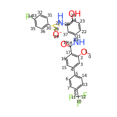 COc1cc(-c2ccc(C(F)(F)F)cc2)ccc1C(=O)Nc1ccc(O)c(N[S+]([O-])c2ccc(F)cc2)c1